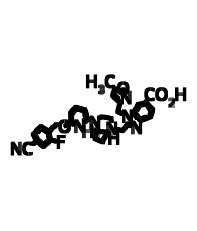 Cc1cc(Cn2c(CN3CCN(c4cccc(OCc5ccc(C#N)cc5F)n4)[C@H]4CC[C@H]43)nc3ccc(C(=O)O)cc32)no1